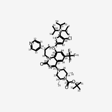 CC(C)[Si](c1sc([SH]2C[C@@H](c3ccncc3)Cn3c(=O)nc(N4C[C@@H](C)N(C(=O)OC(C)(C)C)[C@@H](C)C4)c4cc(C(F)(F)F)cc2c43)cc1Cl)(C(C)C)C(C)C